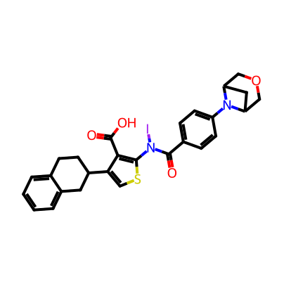 O=C(O)c1c(C2CCc3ccccc3C2)csc1N(I)C(=O)c1ccc(N2C3COCC2C3)cc1